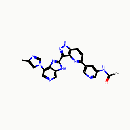 Cc1cn(-c2cncc3[nH]c(-c4n[nH]c5ccc(-c6cncc(NC(=O)C(C)C)c6)nc45)nc23)cn1